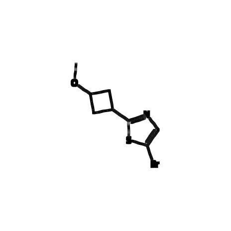 COC1CC(c2ncc(Br)s2)C1